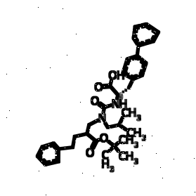 CC(C)CN(CC(CCc1ccccc1)C(=O)OC(C)(C)C)C(=O)N[C@@H](Cc1ccc(-c2ccccc2)cc1)C(=O)O